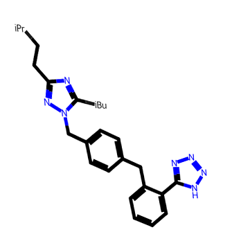 CCC(C)c1nc(CCC(C)C)nn1Cc1ccc(Cc2ccccc2-c2nnn[nH]2)cc1